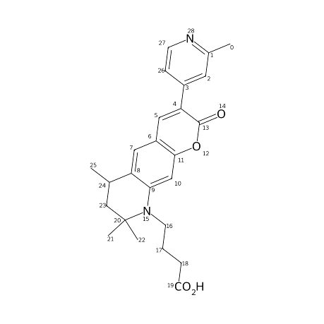 Cc1cc(-c2cc3cc4c(cc3oc2=O)N(CCCC(=O)O)C(C)(C)CC4C)ccn1